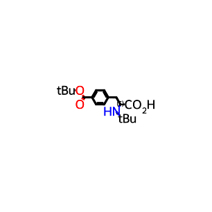 CC(C)(C)N[C@@H](Cc1ccc(C(=O)OC(C)(C)C)cc1)C(=O)O